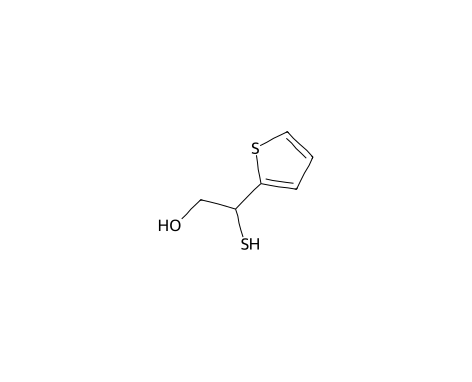 OCC(S)c1cccs1